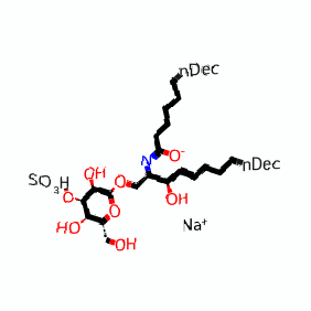 CCCCCCCCCCCCC/C=C/[C@@H](O)[C@@H](CO[C@@H]1O[C@H](CO)[C@H](O)[C@H](OS(=O)(=O)O)[C@H]1O)N=C([O-])CCCCCCCCCCCCCCC.[Na+]